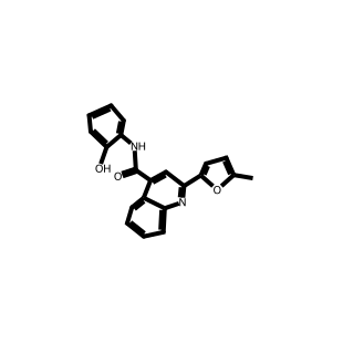 Cc1ccc(-c2cc(C(=O)Nc3ccccc3O)c3ccccc3n2)o1